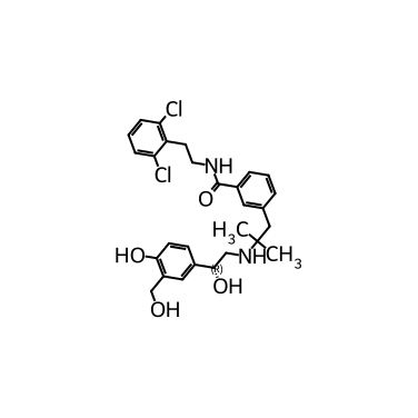 CC(C)(Cc1cccc(C(=O)NCCc2c(Cl)cccc2Cl)c1)NC[C@H](O)c1ccc(O)c(CO)c1